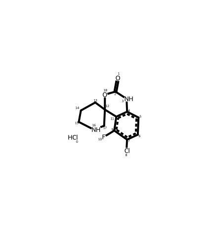 Cl.O=C1Nc2ccc(Cl)c(F)c2C2(CCCNC2)O1